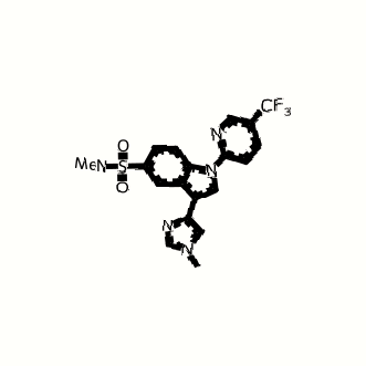 CNS(=O)(=O)c1ccc2c(c1)c(-c1cn(C)cn1)cn2-c1ccc(C(F)(F)F)cn1